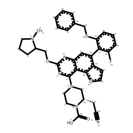 CN1CCCC1COc1nc(N2CCN(C(=O)O)[C@@H](CC#N)C2)c2c(cc(-c3c(F)cccc3OCc3ccccc3)c3ccoc32)n1